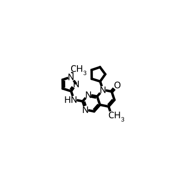 Cc1cc(=O)n(C2CCCC2)c2nc(Nc3ccn(C)n3)ncc12